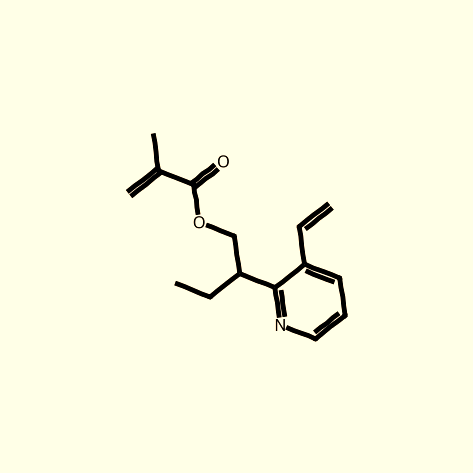 C=Cc1cccnc1C(CC)COC(=O)C(=C)C